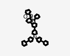 c1ccc(-c2ccc(N(c3ccc(-c4ccccc4)cc3)c3ccc(-c4ccc5c(c4)c4ccc6c(c4n5-c4ccccc4)Oc4ccccc4O6)cc3)cc2)cc1